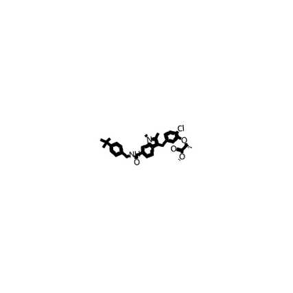 COC(=O)[C@@H](C)Oc1cc(Cc2c(C)n(C)c3cc(C(=O)NCc4ccc(C(C)(C)C)cc4)ccc23)ccc1Cl